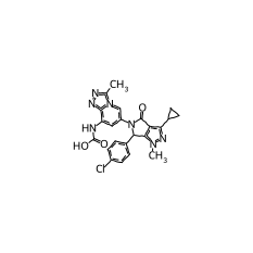 Cc1nnc2c(NC(=O)O)cc(N3C(=O)c4c(C5CC5)nn(C)c4C3c3ccc(Cl)cc3)cn12